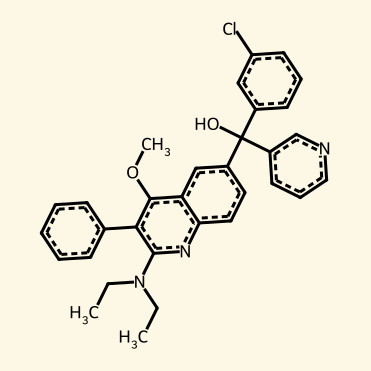 CCN(CC)c1nc2ccc(C(O)(c3cccnc3)c3cccc(Cl)c3)cc2c(OC)c1-c1ccccc1